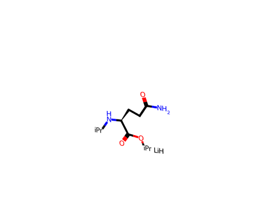 CC(C)N[C@@H](CCC(N)=O)C(=O)OC(C)C.[LiH]